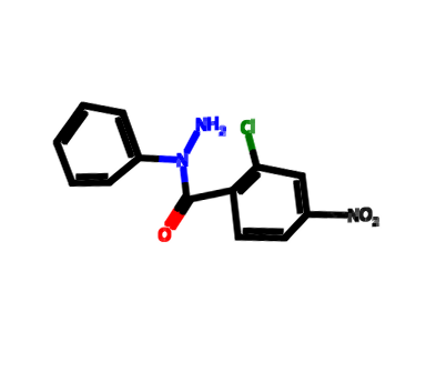 NN(C(=O)c1ccc([N+](=O)[O-])cc1Cl)c1ccccc1